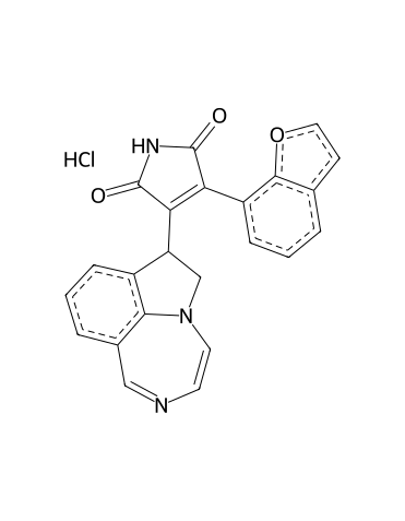 Cl.O=C1NC(=O)C(C2CN3C=CN=Cc4cccc2c43)=C1c1cccc2ccoc12